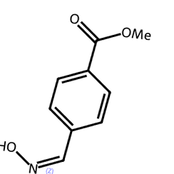 COC(=O)c1ccc(/C=N\O)cc1